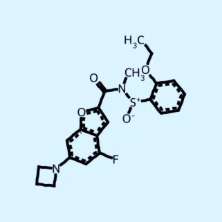 CCOc1ccccc1[S+]([O-])N(C)C(=O)c1cc2c(F)cc(N3CCC3)cc2o1